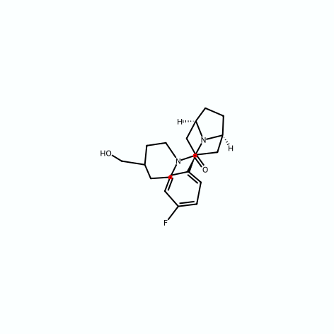 O=C(N1CCC(CO)CC1)N1[C@@H]2CC[C@H]1C[C@@H](c1ccc(F)cc1)C2